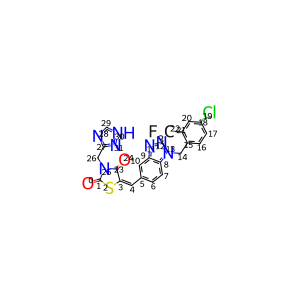 O=C1SC(=Cc2ccc3c(c2)nnn3Cc2ccc(Cl)cc2C(F)(F)F)C(=O)N1Cc1nc[nH]n1